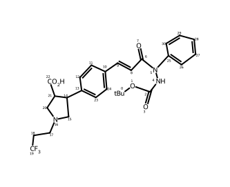 CC(C)(C)OC(=O)NN(C(=O)C=Cc1ccc(C2CN(CCC(F)(F)F)CC2C(=O)O)cc1)c1ccccc1